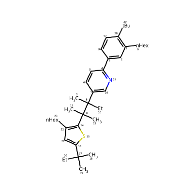 CCCCCCc1cc(-c2ccc(C(C)(CC)C(C)(C)c3sc(C(C)(C)CC)cc3CCCCCC)cn2)ccc1C(C)(C)C